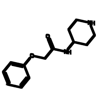 O=C(COc1cc[c]cc1)NC1CCNCC1